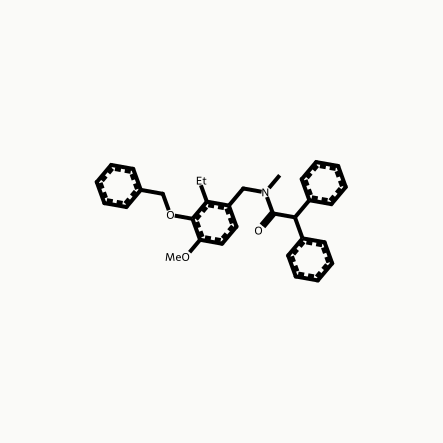 CCc1c(CN(C)C(=O)C(c2ccccc2)c2ccccc2)ccc(OC)c1OCc1ccccc1